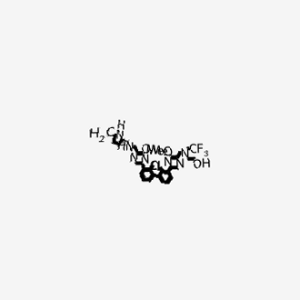 C=C1CC[C@@H](CNCc2ncc(-c3cccc(-c4cccc(-c5cnc(CN(CCO)CC(F)(F)F)c(OC)n5)c4Cl)c3Cl)nc2OC)N1